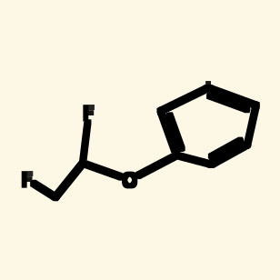 FCC(F)Oc1c[c]ccc1